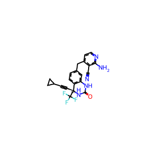 N#Cc1c(Cc2ccc3c(c2)NC(=O)N[C@]3(C#CC2CC2)C(F)(F)F)ccnc1N